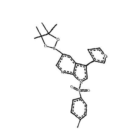 Cc1ccc(S(=O)(=O)n2cc(-c3ccoc3)c3cc(B4OC(C)(C)C(C)(C)O4)cnc32)cc1